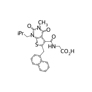 CC(C)Cn1c(=O)n(C)c(=O)c2c(C(=O)NCC(=O)O)c(Cc3cccc4ccccc34)sc21